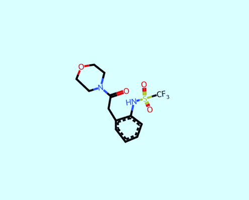 O=C(Cc1ccccc1NS(=O)(=O)C(F)(F)F)N1CCOCC1